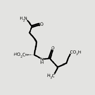 CC(CC(=O)O)C(=O)N[C@@H](CCC(N)=O)C(=O)O